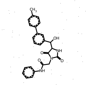 Cc1ccc(-c2cccc(C(O)C3NC(=O)N(CC(=O)Nc4ccccc4)C3=O)c2)cc1